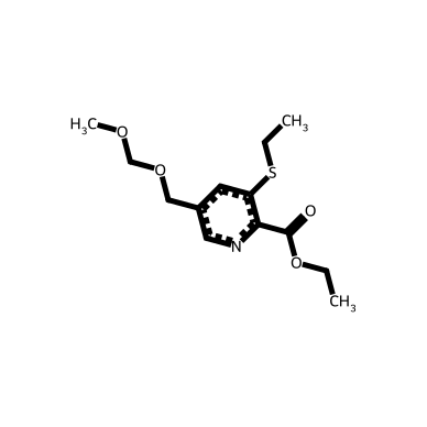 CCOC(=O)c1ncc(COCOC)cc1SCC